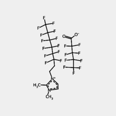 Cc1n(C)cc[n+]1CCC(F)(F)C(F)(F)C(F)(F)C(F)(F)C(F)(F)C(F)(F)F.O=C([O-])C(F)(F)C(F)(F)C(F)(F)C(F)(F)F